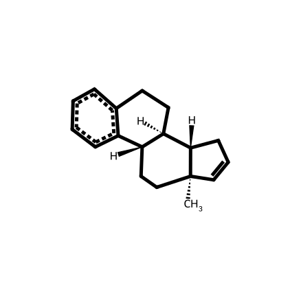 C[C@@]12C=CC[C@H]1[C@@H]1CCc3ccccc3[C@H]1CC2